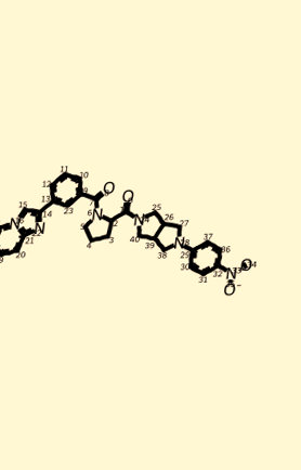 O=C(C1CCCN1C(=O)c1cccc(-c2cn3ccccc3n2)c1)N1CC2CN(c3ccc([N+](=O)[O-])cc3)CC2C1